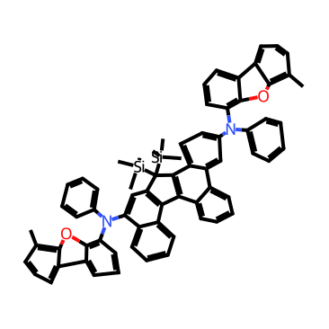 Cc1cccc2c1oc1c(N(c3ccccc3)c3ccc4c5c(c6ccccc6c4c3)-c3c(cc(N(c4ccccc4)c4cccc6c4oc4c(C)cccc46)c4ccccc34)C5([Si](C)(C)C)[Si](C)(C)C)cccc12